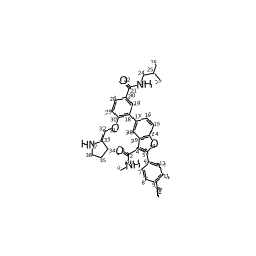 CNC(=O)c1c(-c2ccc(F)cc2)oc2ccc(-c3cc(C(=O)NCC(C)C)ccc3OCC3CCCN3)cc12